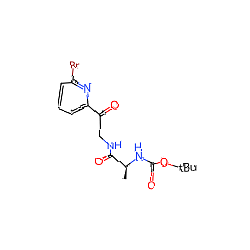 C[C@H](NC(=O)OC(C)(C)C)C(=O)NCC(=O)c1cccc(Br)n1